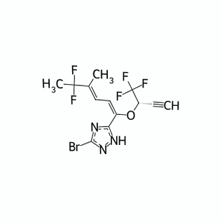 C#C[C@H](O/C(=C/C=C(\C)C(C)(F)F)c1nc(Br)n[nH]1)C(F)(F)F